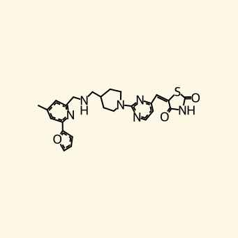 Cc1cc(CNCC2CCN(c3nccc(C=C4SC(=O)NC4=O)n3)CC2)nc(-c2ccco2)c1